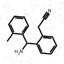 Cc1ccccc1C(N)c1ccccc1CC#N